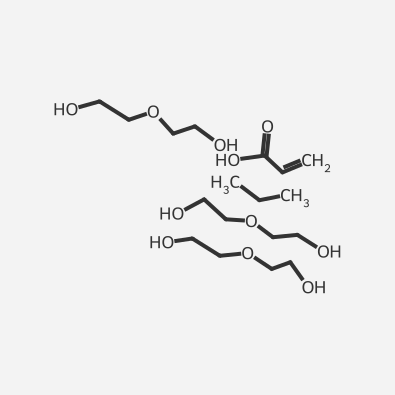 C=CC(=O)O.CCC.OCCOCCO.OCCOCCO.OCCOCCO